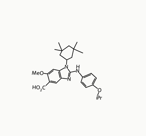 COc1cc2c(cc1C(=O)O)nc(Nc1ccc(OC(C)C)cc1)n2C1CC(C)(C)CC(C)(C)C1